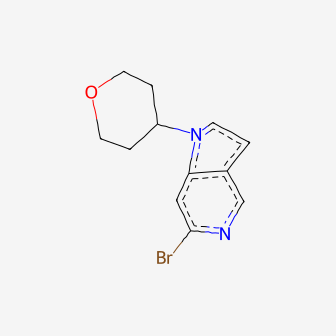 Brc1cc2c(ccn2C2CCOCC2)cn1